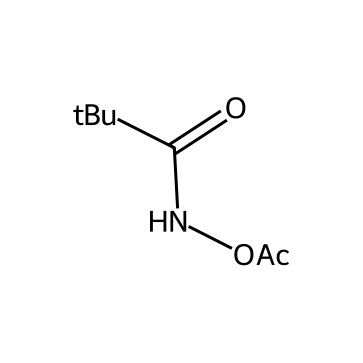 CC(=O)ONC(=O)C(C)(C)C